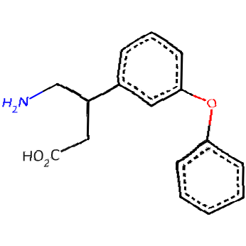 NCC(CC(=O)O)c1cccc(Oc2ccccc2)c1